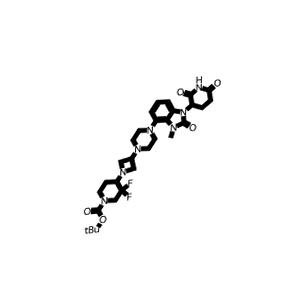 Cn1c(=O)n(C2CCC(=O)NC2=O)c2cccc(N3CCN(C4CN(C5CCN(C(=O)OC(C)(C)C)CC5(F)F)C4)CC3)c21